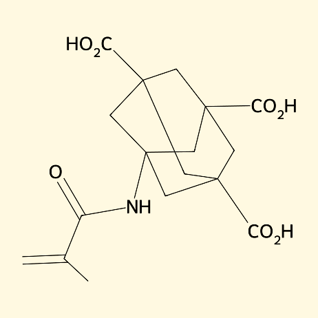 C=C(C)C(=O)NC12CC3(C(=O)O)CC(C(=O)O)(C1)CC(C(=O)O)(C2)C3